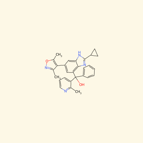 Cc1ncccc1C(O)(c1ccccc1)c1cc(-c2c(C)noc2C)cc2[nH]c(C3CC3)nc12